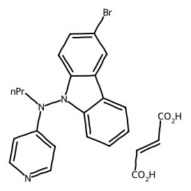 CCCN(c1ccncc1)n1c2ccccc2c2cc(Br)ccc21.O=C(O)C=CC(=O)O